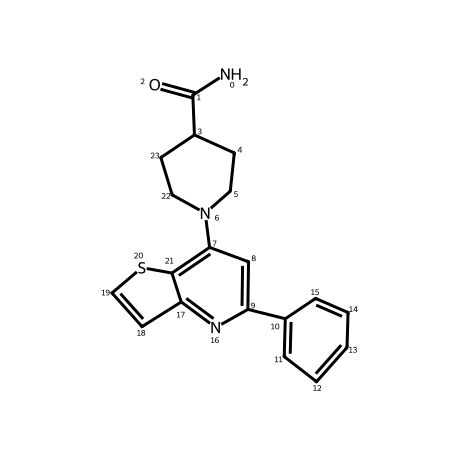 NC(=O)C1CCN(c2cc(-c3ccccc3)nc3ccsc23)CC1